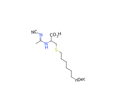 CCCCCCCCCCCCCCCCSCC(NC(C)=NC#N)C(=O)O